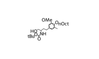 CCCCCCCCOc1c(C)cc(CCC(CO)NC(=O)OC(C)(C)C)cc1OC